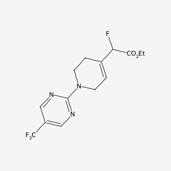 CCOC(=O)C(F)C1=CCN(c2ncc(C(F)(F)F)cn2)CC1